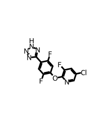 Fc1cc(-c2nn[nH]n2)c(F)cc1Oc1ncc(Cl)cc1F